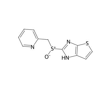 [O-][S+](Cc1ccccn1)c1nc2sccc2[nH]1